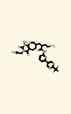 C#CCn1c(=O)c2c(n(C)c1=O)N=CC(CC(CCC)C(=O)Nc1cccc(-c3cnc(C(F)(F)F)nc3)n1)CC2